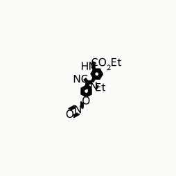 CCOC(=O)Nc1cccc(-c2c(C#N)c3ccc(OCCN4CCOCC4)cc3n2CC)c1